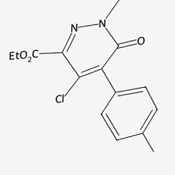 CCOC(=O)c1nn(C)c(=O)c(-c2ccc(C)cc2)c1Cl